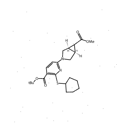 COC(=O)C1[C@H]2CN(c3ccc(C(=O)OC(C)(C)C)c(SC4CCCCC4)n3)C[C@@H]12